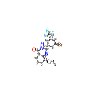 Cc1cccc2c(=O)[nH]c(-c3cc(Br)cc(C(F)(F)F)c3)nc12